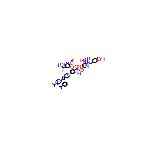 CCOc1nc2[nH]cc(F)c2cc1Oc1cc(N2CCC3(CC2)CC(N2CCN(C(C)C)C[C@H]2c2ccccc2C(C)C)C3)ccc1C(=O)NS(=O)(=O)c1cnc(NCC2CCC(C)(O)CC2)c([N+](=O)[O-])c1